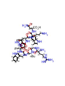 CC[C@H](C)[C@H](NC(=O)[C@H](Cc1c[nH]c2ccccc12)NC(=O)[C@@H](N)CCCNC(=N)N)C(=O)N[C@@H](Cc1c[nH]c2ccccc12)C(=O)N[C@H](C(=O)N[C@@H](CC(C)C)C(=O)N[C@@H](Cc1c[nH]c2ccccc12)C(=O)N[C@@H](CCCCN)C(=O)N[C@@H](CC(N)=O)C(=O)O)C(C)C